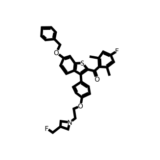 Cc1cc(F)cc(C)c1C(=O)c1sc2cc(OCc3ccccc3)ccc2c1-c1ccc(OCCN2CC(CF)C2)cc1